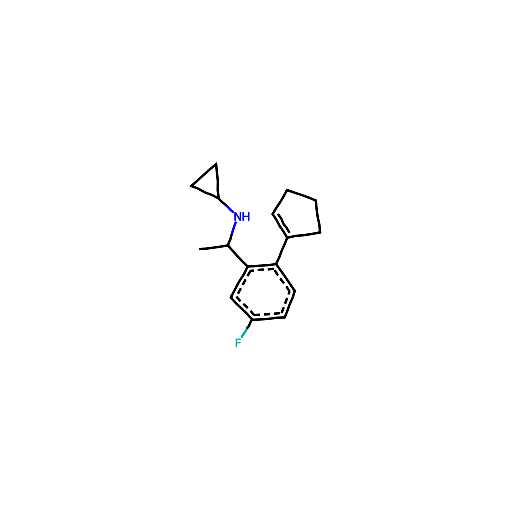 CC(NC1CC1)c1cc(F)ccc1C1=CCCC1